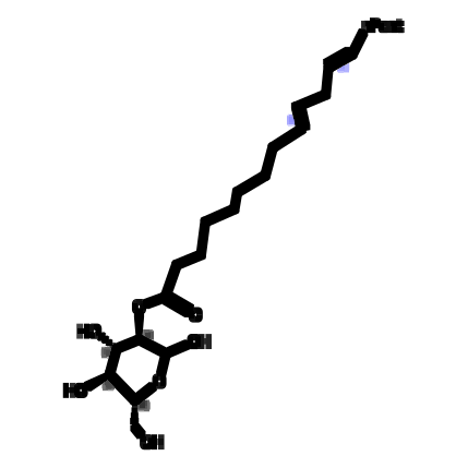 CCCCC/C=C/C/C=C/CCCCCCCC(=O)O[C@H]1C(O)O[C@H](CO)[C@@H](O)[C@@H]1O